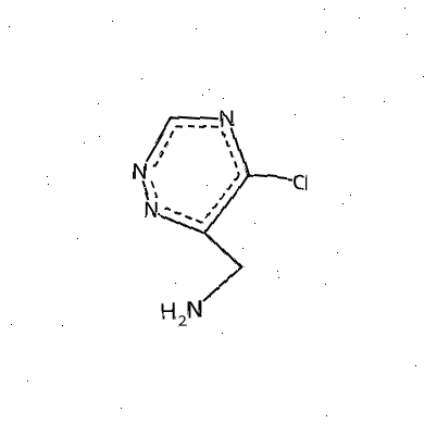 NCc1nncnc1Cl